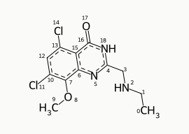 CCNCc1nc2c(OC)c(Cl)cc(Cl)c2c(=O)[nH]1